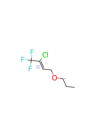 CC[CH]OC/C=C(\Cl)C(F)(F)F